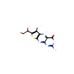 CSc1c(C(O)CO)sc2nc3nc(N)[nH]c(=O)c3nc12